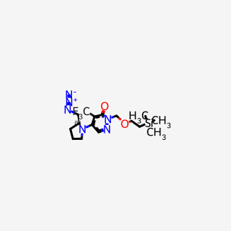 C[Si](C)(C)CCOCn1ncc(N2CCC[C@H]2CN=[N+]=[N-])c(C(F)(F)F)c1=O